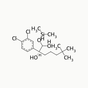 C[SiH](C)OC(O)[C@@](O)(CCCC(C)(C)C)c1ccc(Cl)c(Cl)c1